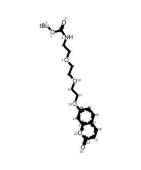 CC(C)(C)OC(=O)NCCOCCOCCOc1ccc2ccc(=O)oc2c1